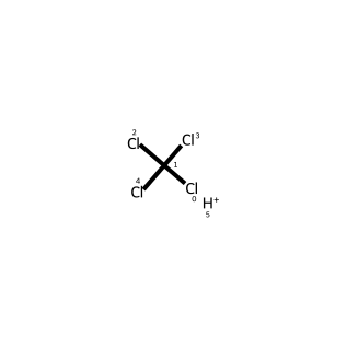 ClC(Cl)(Cl)Cl.[H+]